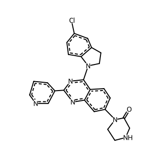 O=C1CNCCN1c1ccc2c(N3CCc4cc(Cl)ccc43)nc(-c3cccnc3)nc2c1